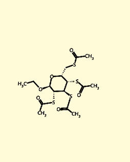 CCO[C@H]1O[C@H](CSC(C)=O)[C@H](SC(C)=O)[C@@H](SC(C)=O)[C@@H]1SC(C)=O